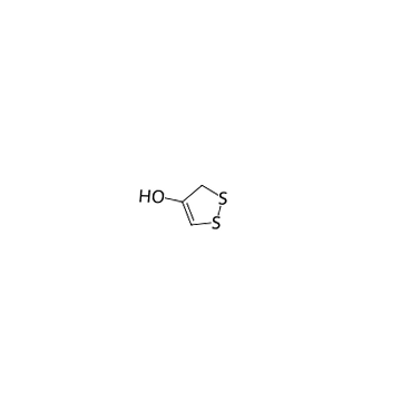 OC1=CSSC1